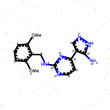 COc1cccc(OC)c1CNc1nccc(-c2cn[nH]c2N)n1